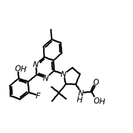 Cc1ccc2c(N3CCC(NC(=O)O)C3C(C)(C)C)nc(-c3c(O)cccc3F)nc2c1